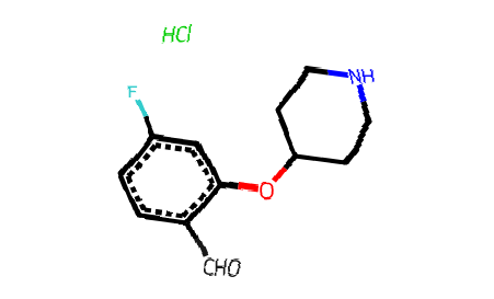 Cl.O=Cc1ccc(F)cc1OC1CCNCC1